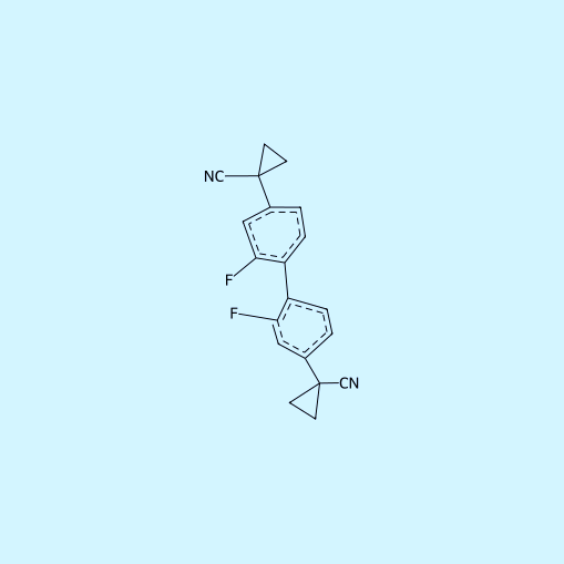 N#CC1(c2ccc(-c3ccc(C4(C#N)CC4)cc3F)c(F)c2)CC1